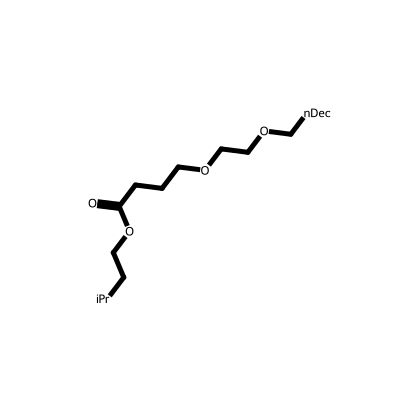 CCCCCCCCCCCOCCOCCCC(=O)OCCC(C)C